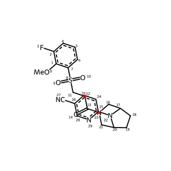 COc1c(F)cccc1S(=O)(=O)CCC(=O)N1CC2CCC(C1)N2c1ccc(C#N)cn1